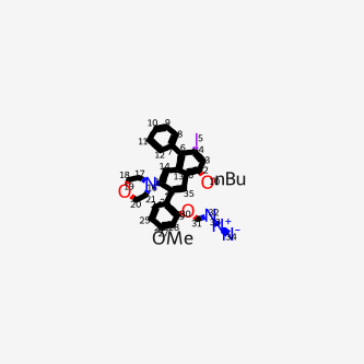 CCCCOc1cc(I)c(-c2ccccc2)c2cc(N3CCOCC3)c(-c3ccc(OC)cc3OCN=[N+]=[N-])cc12